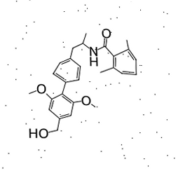 COc1cc(CO)cc(OC)c1-c1ccc(CC(C)NC(=O)c2c(C)cccc2C)cc1